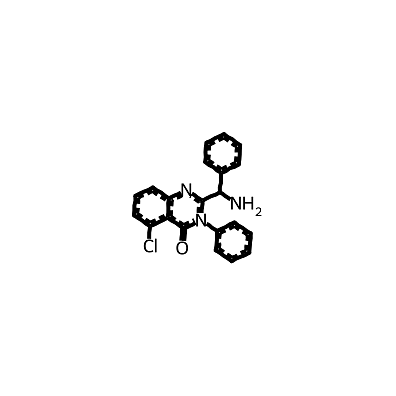 NC(c1ccccc1)c1nc2cccc(Cl)c2c(=O)n1-c1ccccc1